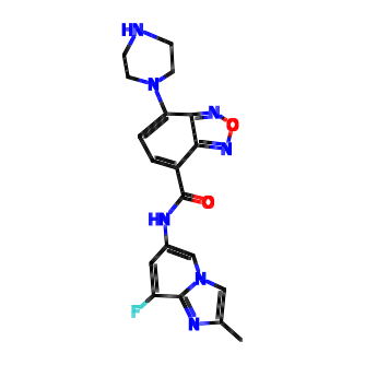 Cc1cn2cc(NC(=O)c3ccc(N4CCNCC4)c4nonc34)cc(F)c2n1